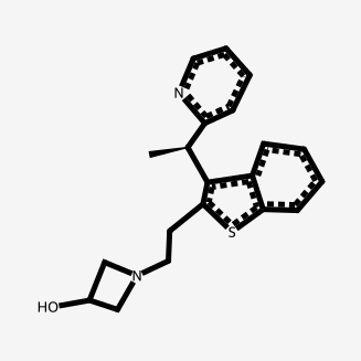 C[C@@H](c1ccccn1)c1c(CCN2CC(O)C2)sc2ccccc12